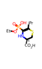 CCOP(=O)(O)C1=C(C(C)C)SC[C@@H](C(=O)O)N1